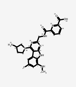 CNc1cc(F)cc2c1[nH]c1nc(CNC(=O)c3cccc(C(=O)O)n3)nc(N3CCC(N)C3)c12